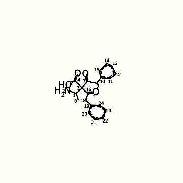 CC(N)C(C(=O)O)(C(=O)Cc1ccccc1)C(=O)Cc1ccccc1